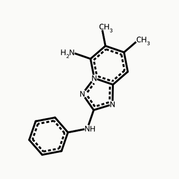 Cc1cc2nc(Nc3ccccc3)nn2c(N)c1C